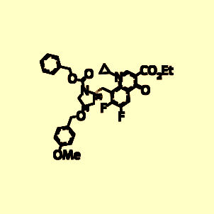 CCOC(=O)c1cn(C2CC2)c2c(C[C@@H]3C[C@@H](OCc4ccc(OC)cc4)CN3C(=O)OCc3ccccc3)c(F)c(F)cc2c1=O